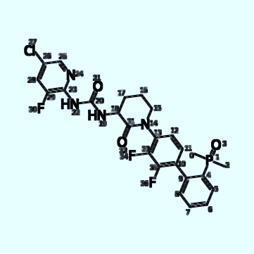 CP(C)(=O)c1ccccc1-c1ccc(N2CCCC(NC(=O)Nc3ncc(Cl)cc3F)C2=O)c(F)c1F